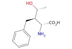 C[C@@H](O)[C@H](Cc1ccccc1)[C@@H](N)C(=O)O